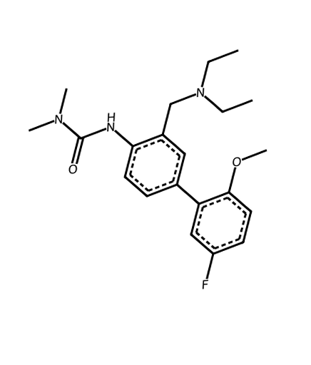 CCN(CC)Cc1cc(-c2cc(F)ccc2OC)ccc1NC(=O)N(C)C